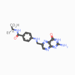 CC[C@@H](NC(=O)c1ccc(NCc2cnc3nc(N)[nH]c(=O)c3n2)cc1)C(=O)O